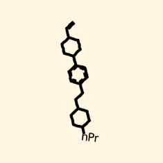 C=CC1CCC(c2ccc(CCC3CCC(CCC)CC3)cc2)CC1